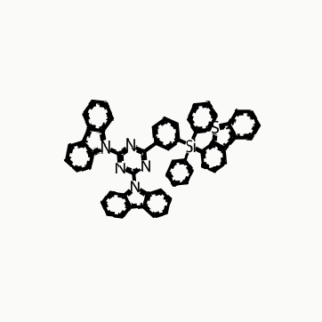 c1ccc([Si](c2ccccc2)(c2cccc(-c3nc(-n4c5ccccc5c5ccccc54)nc(-n4c5ccccc5c5ccccc54)n3)c2)c2cccc3c2sc2ccccc23)cc1